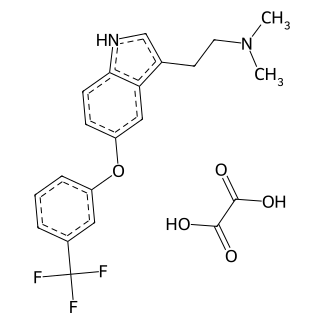 CN(C)CCc1c[nH]c2ccc(Oc3cccc(C(F)(F)F)c3)cc12.O=C(O)C(=O)O